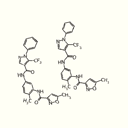 Cc1cc(C(=O)Nc2cc(NC(=O)c3cnn(-c4ccccc4)c3C(F)(F)F)ccc2C)no1.Cc1cc(C(=O)Nc2cc(NC(=O)c3cnn(-c4ccccc4)c3C(F)(F)F)ccc2C)no1